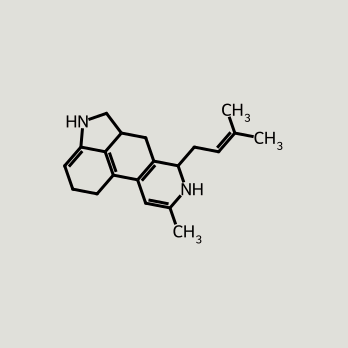 CC(C)=CCC1NC(C)=CC2=C1CC1CNC3=CCCC2=C31